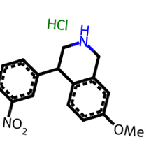 COc1ccc2c(c1)CNCC2c1cccc([N+](=O)[O-])c1.Cl